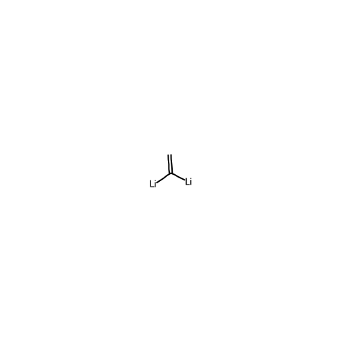 [Li][C]([Li])=C